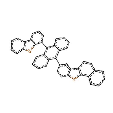 c1ccc2c(c1)ccc1c3cc(-c4c5ccccc5c(-c5cccc6c5sc5ccccc56)c5ccccc45)ccc3sc21